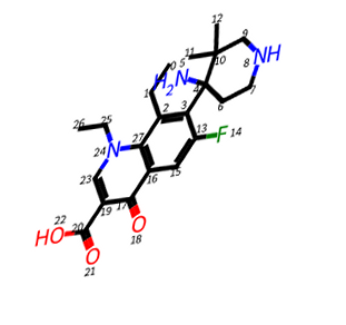 CCc1c(C2(N)CCNCC2(C)C)c(F)cc2c(=O)c(C(=O)O)cn(CC)c12